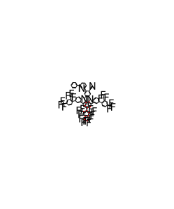 N#Cc1cc(-n2c3ccc(-c4ccc(C(F)(F)F)cc4C(F)(F)F)cc3c3cc(-c4ccc(C(F)(F)F)cc4C(F)(F)F)ccc32)c(-n2c3ccc(-c4ccc(C(F)(F)F)cc4C(F)(F)F)cc3c3cc(-c4ccc(C(F)(F)F)cc4C(F)(F)F)ccc32)cc1-c1cccc(-c2ccccc2)n1